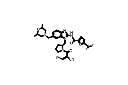 CC(C)C=C(C#N)C(=O)N1CCCC1Cn1c(NC(=O)c2ccc(C(F)F)s2)nc2ccc(CN3CC(C)OC(C)C3)cc21